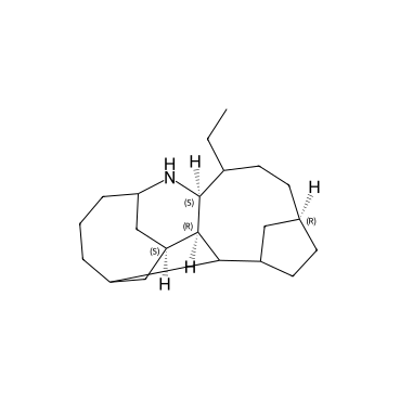 CCC1CC[C@H]2CCC(C2)C2C3CCCC4C[C@H](C3)[C@H]2[C@H]1N4